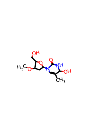 COC1CC(N2C=C(C)C(O)NC2=O)OC1CO